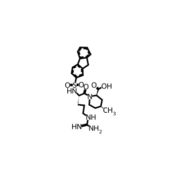 C[C@@H]1CCN(C(=O)[C@H](CCCNC(=N)N)NS(=O)(=O)c2ccc3c(c2)Cc2ccccc2-3)[C@@H](C(=O)O)C1